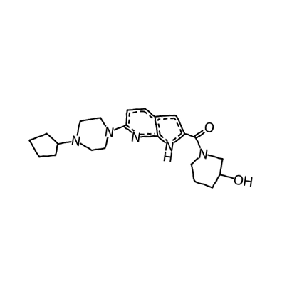 O=C(c1cc2ccc(N3CCN(C4CCCC4)CC3)nc2[nH]1)N1CCCC(O)C1